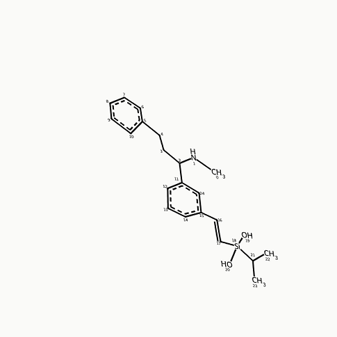 CNC(CCc1ccccc1)c1cccc(C=C[Si](O)(O)C(C)C)c1